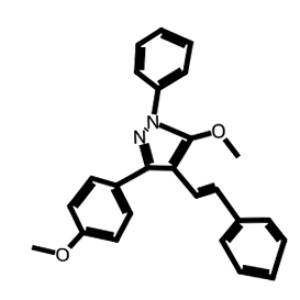 COc1ccc(-c2nn(-c3ccccc3)c(OC)c2/C=C/c2ccccc2)cc1